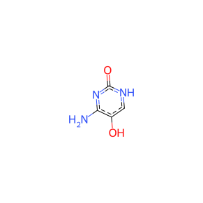 Nc1nc(=O)[nH]cc1O